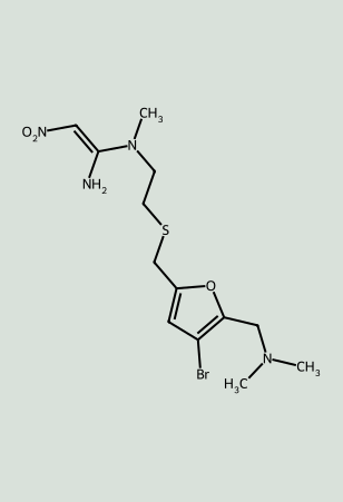 CN(C)Cc1oc(CSCCN(C)C(N)=C[N+](=O)[O-])cc1Br